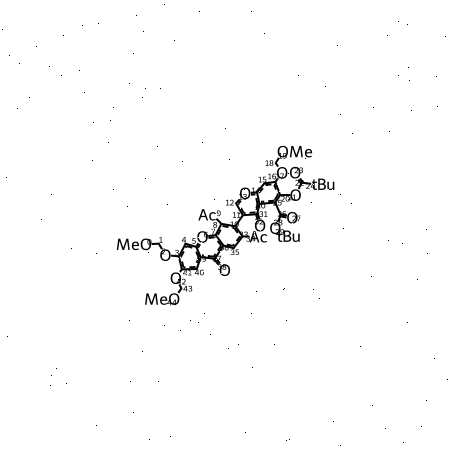 COCOc1cc2oc3c(C(C)=O)c(-c4coc5cc(OCOC)c(OC(=O)C(C)(C)C)c(C(=O)OC(C)(C)C)c5c4=O)c(C(C)=O)cc3c(=O)c2cc1OCOC